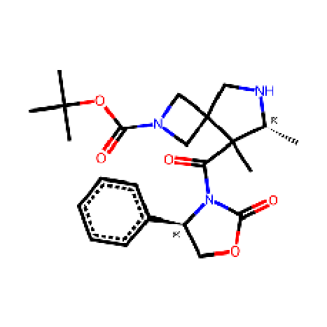 C[C@H]1NCC2(CN(C(=O)OC(C)(C)C)C2)C1(C)C(=O)N1C(=O)OC[C@H]1c1ccccc1